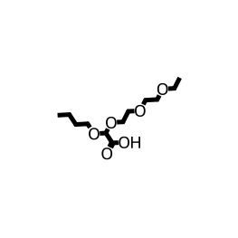 CCCCOC(OCCOCCOCC)C(=O)O